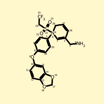 NCC1=C[N+](c2ccc(Oc3ccc4c(c3)OCO4)cc2)(S(=O)(=O)CC(F)(F)F)CC=C1